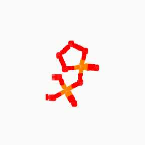 O=P(O)(O)OP1(=O)OOOO1